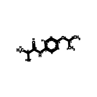 CC(C)Oc1ccc(NC(=O)C(C)Br)nc1